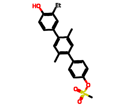 CCc1cc(-c2cc(C)c(-c3ccc(OS(C)(=O)=O)cc3)cc2C)ccc1O